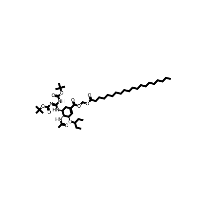 CCCCCCCCCCCCCCCCCCCC(=O)OCOC(=O)C1=C[C@@H](OC(CC)CC)[C@H](NC(C)=O)[C@@H](N/C(=N\C(=O)OC(C)(C)C)NC(=O)OC(C)(C)C)C1